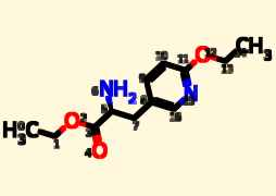 CCOC(=O)[C@@H](N)Cc1ccc(OCC)nc1